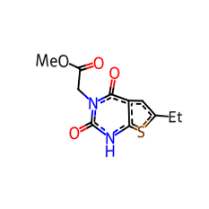 CCc1cc2c(=O)n(CC(=O)OC)c(=O)[nH]c2s1